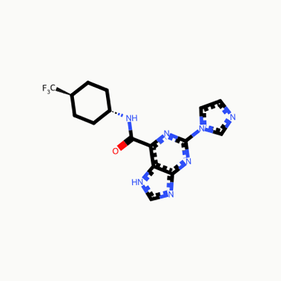 O=C(N[C@H]1CC[C@H](C(F)(F)F)CC1)c1nc(-n2ccnc2)nc2nc[nH]c12